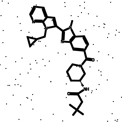 Cn1c(-c2cc3cccnc3n2CC2CC2)nc2cc(C(=O)N3CCC[C@@H](NC(=O)CC(C)(C)C)C3)ccc21